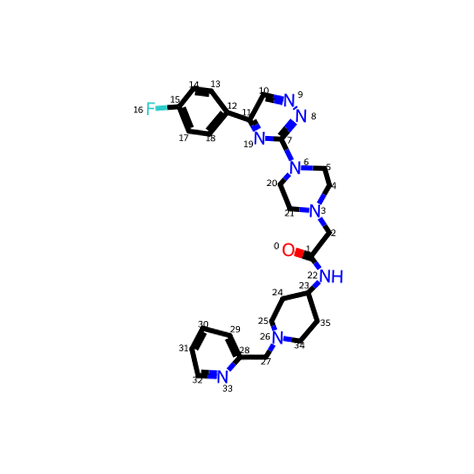 O=C(CN1CCN(c2nncc(-c3ccc(F)cc3)n2)CC1)NC1CCN(Cc2ccccn2)CC1